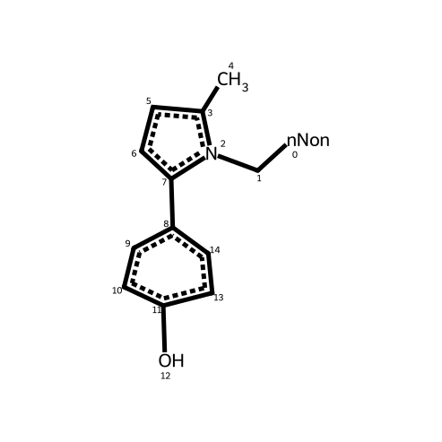 CCCCCCCCCCn1c(C)ccc1-c1ccc(O)cc1